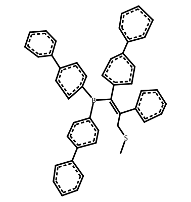 CSC/C(=C(\B(c1ccc(-c2ccccc2)cc1)c1ccc(-c2ccccc2)cc1)c1ccc(-c2ccccc2)cc1)c1ccccc1